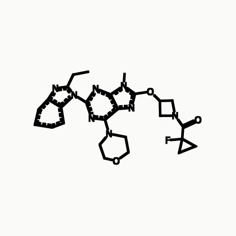 CCc1nc2ccccc2n1-c1nc(N2CCOCC2)c2nc(OC3CN(C(=O)C4(F)CC4)C3)n(C)c2n1